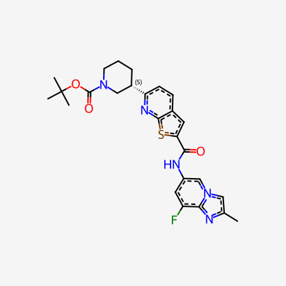 Cc1cn2cc(NC(=O)c3cc4ccc([C@H]5CCCN(C(=O)OC(C)(C)C)C5)nc4s3)cc(F)c2n1